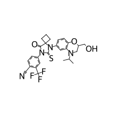 CC(C)N1CC(CO)Oc2ccc(N3C(=S)N(c4ccc(C#N)c(C(F)(F)F)c4)C(=O)C34CCC4)cc21